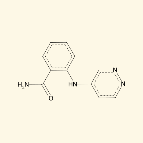 NC(=O)c1ccccc1Nc1ccnnc1